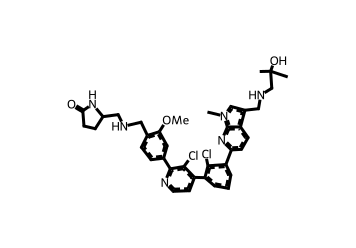 COc1cc(-c2nccc(-c3cccc(-c4ccc5c(CNCC(C)(C)O)cn(C)c5n4)c3Cl)c2Cl)ccc1CNCC1CCC(=O)N1